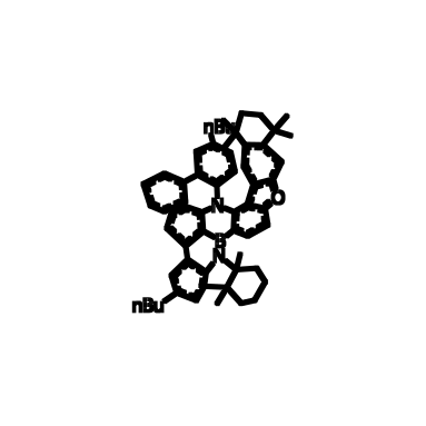 CCCCc1ccc(N2c3cccc4c3B(c3ccc5oc6cc7c(cc6c5c32)C(C)(C)CCC7(C)C)N2c3c-4cc(CCCC)cc3C3(C)CCCCC23C)c(-c2ccccc2)c1